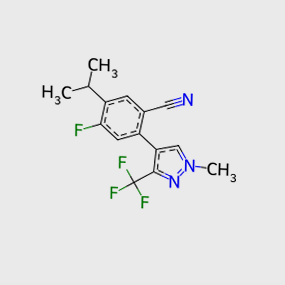 CC(C)c1cc(C#N)c(-c2cn(C)nc2C(F)(F)F)cc1F